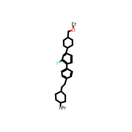 CCCC1CCC(CCc2ccc(-c3ccc(C4CCC(COCC)CC4)cc3F)cc2)CC1